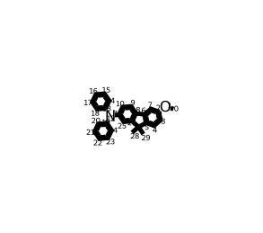 COc1ccc2c(c1)-c1ccc(N(c3ccccc3)c3ccccc3)cc1C2(C)C